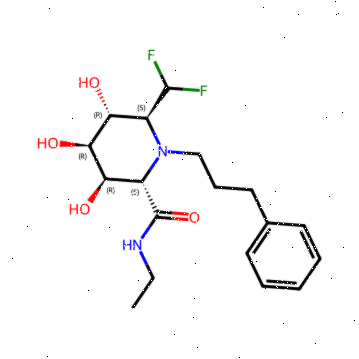 CCNC(=O)[C@@H]1[C@@H](O)[C@@H](O)[C@H](O)[C@@H](C(F)F)N1CCCc1ccccc1